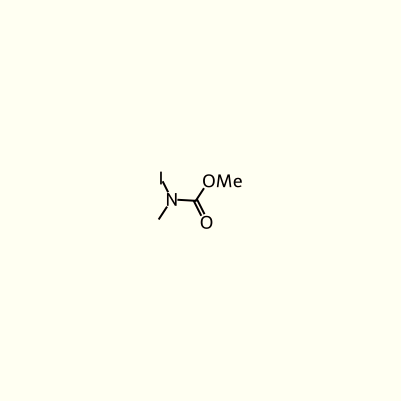 COC(=O)N(C)I